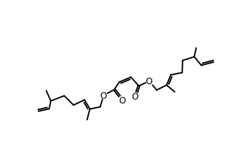 C=CC(C)CCC=C(C)COC(=O)/C=C\C(=O)OCC(C)=CCCC(C)C=C